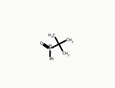 CC(C)[PH](=O)C(C)(C)C